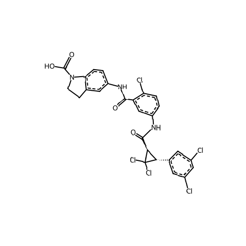 O=C(Nc1ccc2c(c1)CCN2C(=O)O)c1cc(NC(=O)[C@H]2[C@H](c3cc(Cl)cc(Cl)c3)C2(Cl)Cl)ccc1Cl